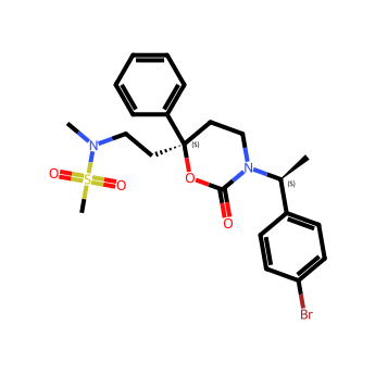 C[C@@H](c1ccc(Br)cc1)N1CC[C@](CCN(C)S(C)(=O)=O)(c2ccccc2)OC1=O